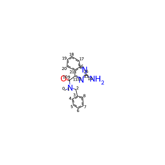 CN(Cc1ccccc1)C(=O)c1nc(N)nc2ccccc12